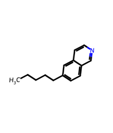 CCCCCc1ccc2cnccc2c1